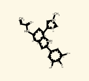 C=CC(=O)Nc1cc(-c2cn(C)cn2)c2[nH]c(-c3cc(F)c(F)c(F)c3)cc2c1